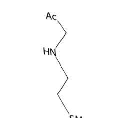 CSCCNCC(C)=O